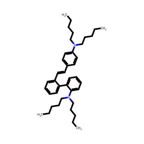 CCCCCN(CCCCC)c1ccc(/C=C/c2ccccc2-c2ccccc2N(CCCCC)CCCCC)cc1